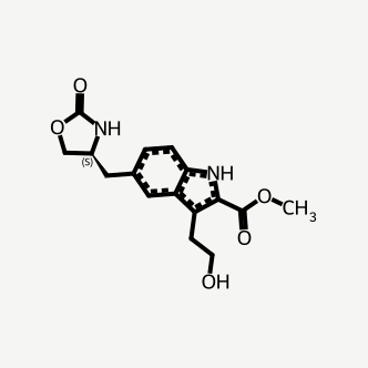 COC(=O)c1[nH]c2ccc(C[C@H]3COC(=O)N3)cc2c1CCO